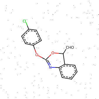 O=CC1OC(Oc2ccc(Cl)cc2)=Nc2ccccc21